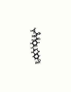 CC(C)Oc1ccc2c(c1)CCN(Cc1ccc([C@H](C)NC(=O)C3CC3)cc1)C2